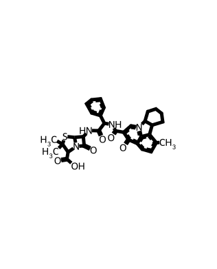 Cc1ccc2c(=O)c(C(=O)NC(C(=O)NC3C(=O)N4C3SC(C)(C)C4C(=O)O)c3ccccc3)cn3c2c1C1CCCCC13